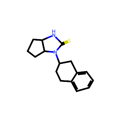 S=C1NC2CCCC2N1C1CCc2ccccc2C1